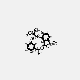 CC[C@@H]1OC2O[C@@H](CC)c3cccc(c32)OP(N(C)C)Oc2cccc1c2